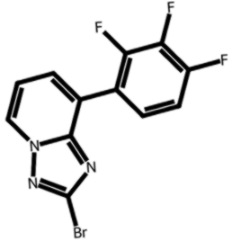 Fc1ccc(-c2cccn3nc(Br)nc23)c(F)c1F